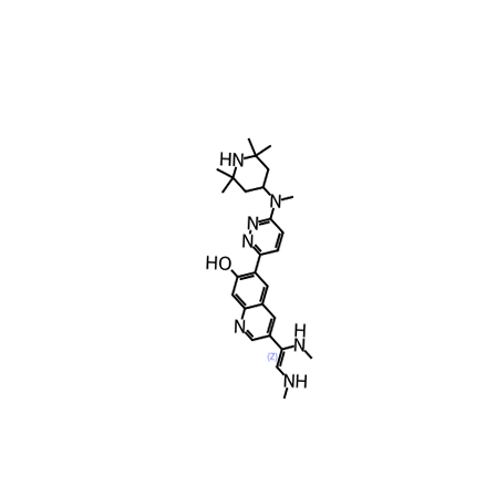 CN/C=C(\NC)c1cnc2cc(O)c(-c3ccc(N(C)C4CC(C)(C)NC(C)(C)C4)nn3)cc2c1